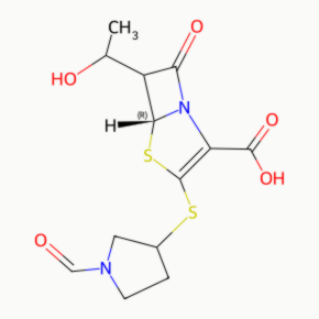 CC(O)C1C(=O)N2C(C(=O)O)=C(SC3CCN(C=O)C3)S[C@H]12